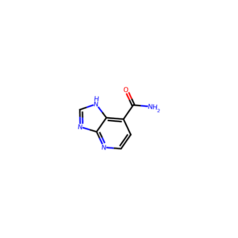 NC(=O)c1ccnc2nc[nH]c12